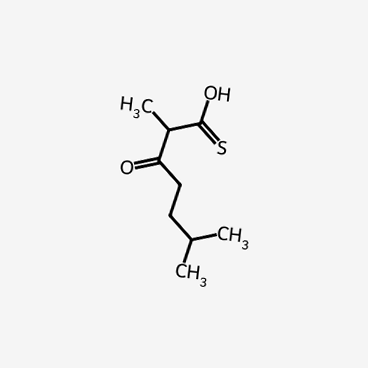 CC(C)CCC(=O)C(C)C(O)=S